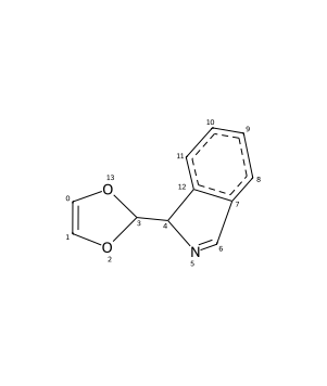 C1=COC(C2N=Cc3ccccc32)O1